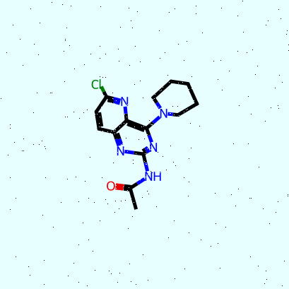 CC(=O)Nc1nc(N2CCCCC2)c2nc(Cl)ccc2n1